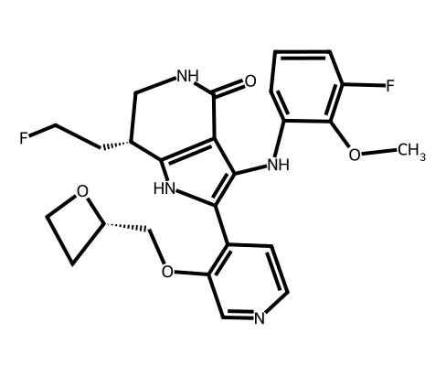 COc1c(F)cccc1Nc1c(-c2ccncc2OC[C@@H]2CCO2)[nH]c2c1C(=O)NC[C@H]2CCF